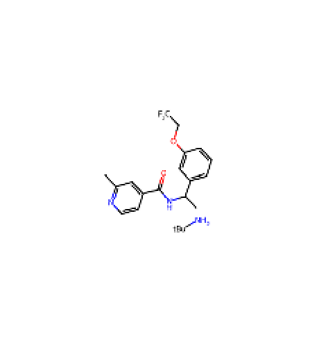 CC(C)(C)N.Cc1cc(C(=O)NC(C)c2cccc(OCC(F)(F)F)c2)ccn1